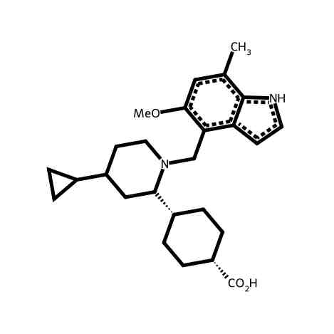 COc1cc(C)c2[nH]ccc2c1CN1CCC(C2CC2)CC1[C@H]1CC[C@@H](C(=O)O)CC1